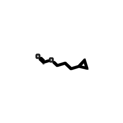 O=[C]OCCCC1CC1